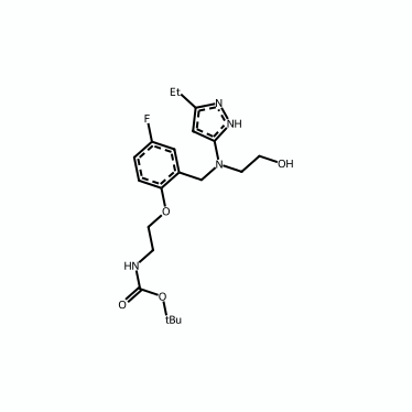 CCc1cc(N(CCO)Cc2cc(F)ccc2OCCNC(=O)OC(C)(C)C)[nH]n1